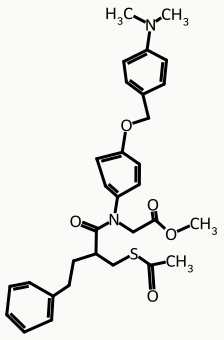 COC(=O)CN(C(=O)C(CCc1ccccc1)CSC(C)=O)c1ccc(OCc2ccc(N(C)C)cc2)cc1